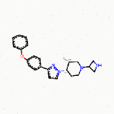 F[C@@H]1CN(C2CNC2)CC[C@@H]1n1ccc(-c2ccc(Oc3ccccc3)cc2)n1